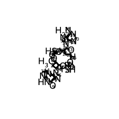 CC12C[C@@H](n3cnc4c(=O)[nH]c5nccn5c43)[C@@H]1OP(=O)(S)OC[C@@H]1C[C@@H](OP(=O)(S)O2)[C@H](n2cnc3c(N)ncnc32)O1